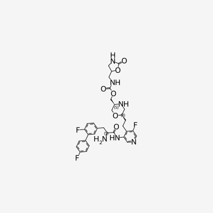 N[C@@H](Cc1ccc(F)c(-c2ccc(F)cc2)c1)C(=O)Nc1cncc(F)c1CC[C@@H]1CN[C@H](COC(=O)NCC2CNC(=O)O2)CO1